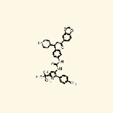 Cc1ccc(-n2nc(C(C)(C)C)cc2NC(=O)Nc2ccc(C(CC(=O)c3ccc4c(c3)OCO4)C3CCNCC3)cc2)cc1